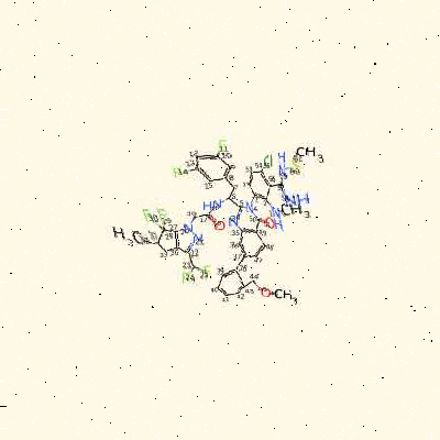 CNc1c(-n2c(C(Cc3cc(F)cc(F)c3)NC(=O)Cn3nc(C(F)F)c4c3C(F)(F)C(C)C4)nc3cc(-c4ccccc4COC)ccc3c2=O)ccc(Cl)c1C(=N)NSC